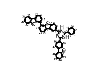 c1ccc(C2NC(c3ccc4sc5c(-c6cccc7c6oc6ccccc67)cccc5c4c3)=NC(c3ccc4c(c3)oc3ccccc34)N2)cc1